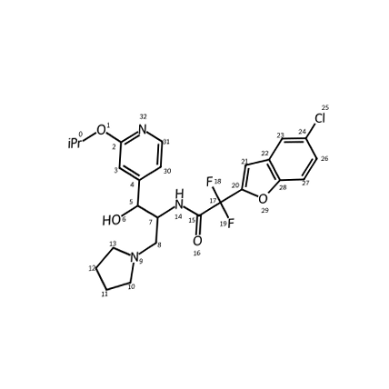 CC(C)Oc1cc(C(O)C(CN2CCCC2)NC(=O)C(F)(F)c2cc3cc(Cl)ccc3o2)ccn1